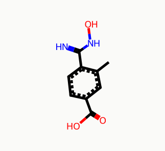 Cc1cc(C(=O)O)ccc1C(=N)NO